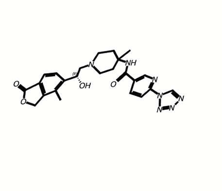 Cc1c([C@@H](O)CN2CCC(C)(NC(=O)c3ccc(-n4cnnn4)nc3)CC2)ccc2c1COC2=O